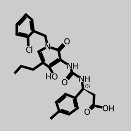 CCCc1cn(Cc2ccccc2Cl)c(=O)c(NC(=O)N[C@@H](CC(=O)O)c2ccc(C)cc2)c1O